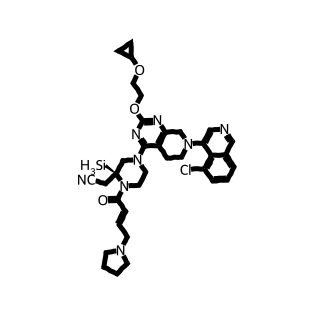 N#CC[C@]1([SiH3])CN(c2nc(OCCOC3CC3)nc3c2CCN(c2cncc4cccc(Cl)c24)C3)CCN1C(=O)/C=C/CN1CCCC1